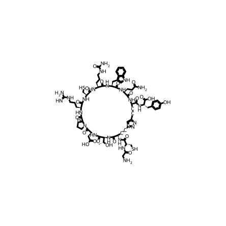 C[C@@H](O)[C@@H]1NC(=O)[C@@H](NC(=O)[C@H](CS)NC(=O)CN)CCn2cc(nn2)CCC(C(=O)N[C@@H](Cc2ccc(O)cc2)C(=O)O)NC(=O)[C@H](CCC(N)=O)NC(=O)[C@H](Cc2c[nH]c3ccccc23)NC(=O)[C@H](CCCNC(N)=O)NC(=O)[C@H](CS)NC(=O)[C@H](CCCNC(=N)N)NC(=O)[C@@H]2CCCN2C(=O)[C@H](CC(=O)O)NC1=O